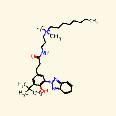 CCCCCCCC[N+](C)(C)CCCNC(=O)CCc1cc(-n2nc3ccccc3n2)c(O)c(C(C)(C)C)c1